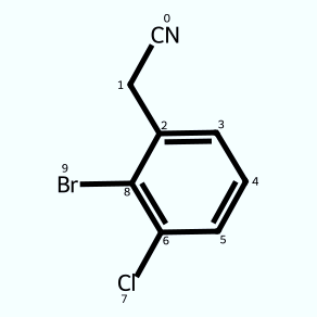 N#CCc1cccc(Cl)c1Br